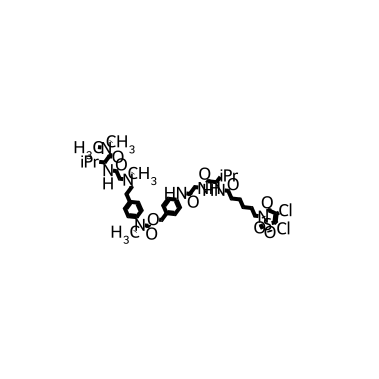 CC(C)C(NC(=O)CCCCCN1C(=O)C(Cl)=C(Cl)S1(=O)=O)C(=O)NCC(=O)Nc1ccc(COC(=O)N(C)c2ccc(CCN(C)CC(=O)NC(C(=O)N(C)C)C(C)C)cc2)cc1